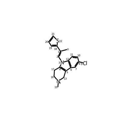 CC(=Cn1c2c(c3cc(Cl)ccc31)CN(C)CC2)c1cccs1